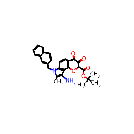 Cc1c(N)c2c3c(ccc2n1Cc1ccc2ccccc2c1)C(=O)C(=O)C(C(=O)OC(C)(C)C)O3